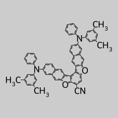 Cc1cc(C)cc(N(c2ccccc2)c2ccc3cc4c(cc3c2)oc2cc(C#N)c3oc5cc6cc(N(c7ccccc7)c7cc(C)cc(C)c7)ccc6cc5c3c24)c1